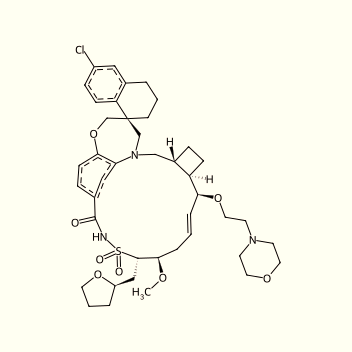 CO[C@@H]1C/C=C/[C@H](OCCN2CCOCC2)[C@@H]2CC[C@H]2CN2C[C@@]3(CCCc4cc(Cl)ccc43)COc3ccc(cc32)C(=O)NS(=O)(=O)[C@H]1C[C@H]1CCCO1